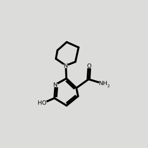 NC(=O)c1ccc(O)nc1N1CCCCC1